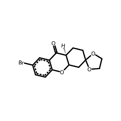 O=C1c2cc(Br)ccc2OC2CC3(CC[C@H]12)OCCO3